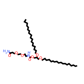 CCCCCCCCCCCCCCCCCCOCC(COC(=O)NCCOCCOCCC(N)=O)OCCCCCCCCCCCCCCCCCC